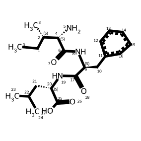 CC[C@H](C)[C@H](N)C(=O)N[C@@H](Cc1ccccc1)C(=O)N[C@@H](CC(C)C)C(=O)O